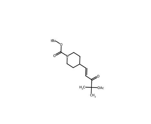 CC(=O)OC(C)(C)C(=O)/C=C/C1CCN(C(=O)OC(C)(C)C)CC1